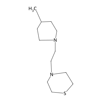 CC1CCN(CCN2CCSCC2)CC1